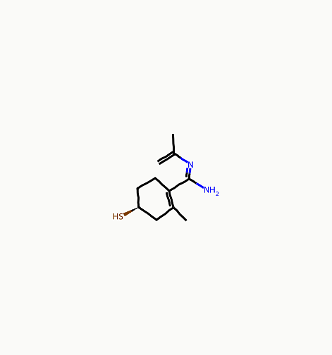 C=C(C)/N=C(/N)C1=C(C)C[C@@H](S)CC1